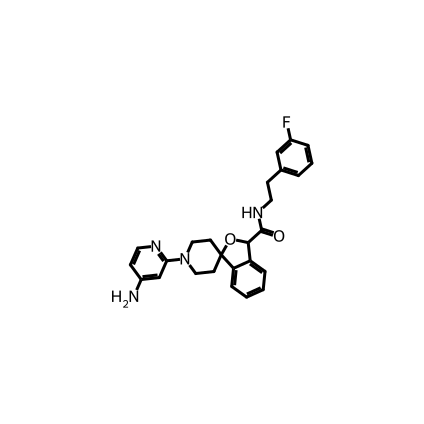 Nc1ccnc(N2CCC3(CC2)OC(C(=O)NCCc2cccc(F)c2)c2ccccc23)c1